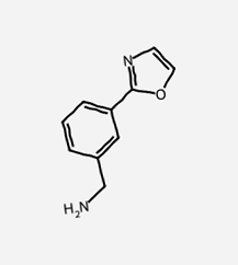 NCc1cccc(-c2ncco2)c1